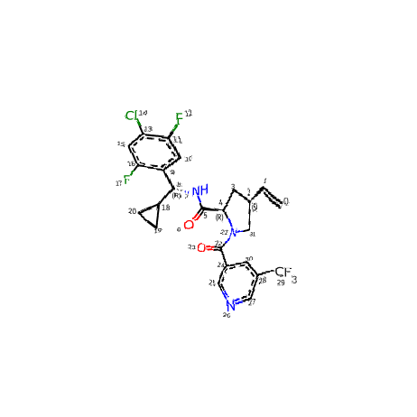 C=C[C@@H]1C[C@H](C(=O)N[C@@H](c2cc(F)c(Cl)cc2F)C2CC2)N(C(=O)c2cncc(C(F)(F)F)c2)C1